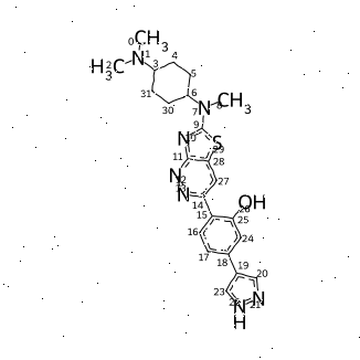 CN(C)C1CCC(N(C)c2nc3nnc(-c4ccc(-c5cn[nH]c5)cc4O)cc3s2)CC1